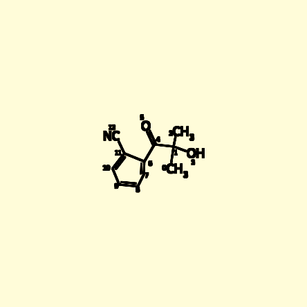 CC(C)(O)C(=O)c1ccccc1C#N